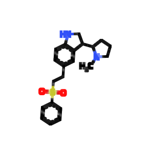 CN1CCCC1C1CNc2ccc(CCS(=O)(=O)c3ccccc3)cc21